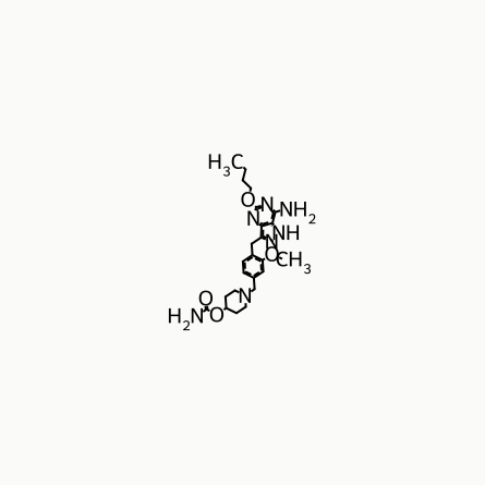 CCCCOc1nc(N)c2[nH]nc(Cc3ccc(CN4CCC(OC(N)=O)CC4)cc3OC)c2n1